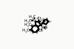 CCC1(C)C(=[Si](C)C)C2=C(C=CC=C(C)C2C)[C]1(C1=CC=CC1)[Hf]([Cl])[Cl]